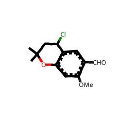 COc1cc2c(cc1C=O)C(Cl)CC(C)(C)O2